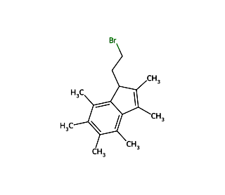 CC1=C(C)C(CCBr)c2c(C)c(C)c(C)c(C)c21